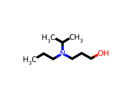 CCCN(CCCO)C(C)C